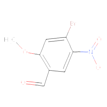 COc1cc(Br)c([N+](=O)[O-])cc1C=O